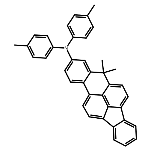 Cc1ccc(N(c2ccc(C)cc2)c2ccc3c(c2)C(C)(C)c2ccc4c5c(ccc-3c25)-c2ccccc2-4)cc1